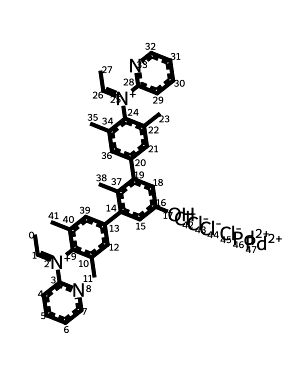 CC=[N+](c1ccccn1)c1c(C)cc(-c2cc(O)cc(-c3cc(C)c([N+](=CC)c4ccccn4)c(C)c3)c2C)cc1C.[Cl-].[Cl-].[Cl-].[Cl-].[Pd+2].[Pd+2]